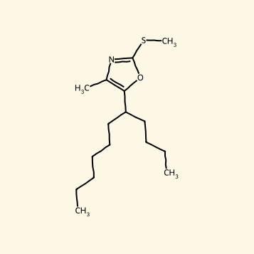 CCCCCCC(CCCC)c1oc(SC)nc1C